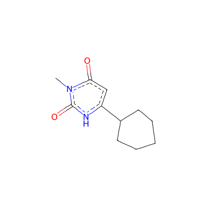 Cn1c(=O)cc(C2CCCCC2)[nH]c1=O